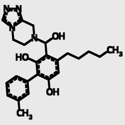 CCCCCc1cc(O)c(-c2cccc(C)c2)c(O)c1C(O)N1CCn2cnnc2C1